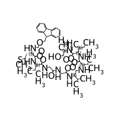 CC[C@H](C)[C@H](NC(=O)[C@@H](NC(=O)[C@@H](NC(=O)CNC(=O)CNC(=O)[C@@H](NC(=O)[C@H](CCSC)NC(=O)OCC1c2ccccc2-c2ccccc21)C(C)C)C(C)C)C(C)C)C(=O)N[C@@H](C)C(=O)O